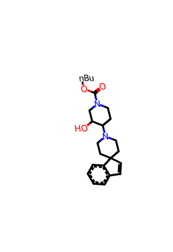 CCCCOC(=O)N1CCC(N2CCC3(C=Cc4ccccc43)CC2)C(O)C1